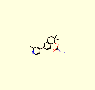 Cc1cc(-c2ccc3c(c2)CCC(C)(C)C3OC(N)=O)ccn1